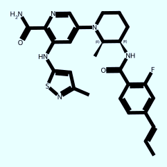 CC=Cc1ccc(C(=O)N[C@@H]2CCCN(c3cnc(C(N)=O)c(Nc4cc(C)ns4)c3)[C@@H]2C)c(F)c1